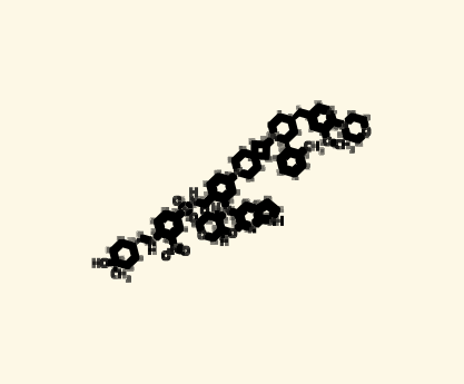 COc1cc(C[C@@H]2CCN(C3CC4(CCN(c5ccc(C(=O)NS(=O)(=O)c6ccc(NC[C@H]7CC[C@](C)(O)CC7)c([N+](=O)[O-])c6)c(N6c7cc8cc[nH]c8nc7O[C@H]7COCC[C@@H]76)c5)CC4)C3)[C@H](c3ccccc3C)C2)cnc1N1CCOCC1